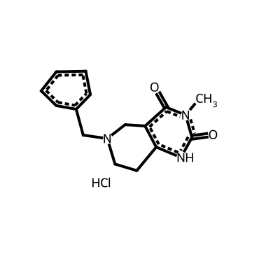 Cl.Cn1c(=O)[nH]c2c(c1=O)CN(Cc1ccccc1)CC2